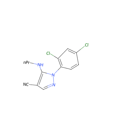 CCCNc1c(C#N)cnn1-c1ccc(Cl)cc1Cl